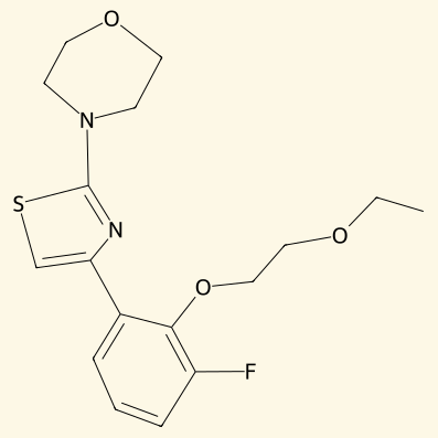 CCOCCOc1c(F)cccc1-c1csc(N2CCOCC2)n1